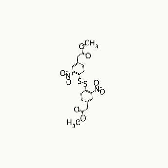 COC(=O)Cc1ccc(SSc2ccc(CC(=O)OC)cc2[N+](=O)[O-])c([N+](=O)[O-])c1